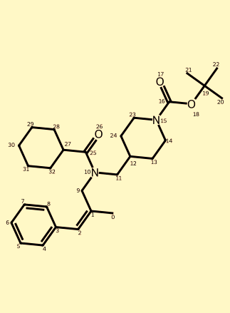 CC(=Cc1ccccc1)CN(CC1CCN(C(=O)OC(C)(C)C)CC1)C(=O)C1CCCCC1